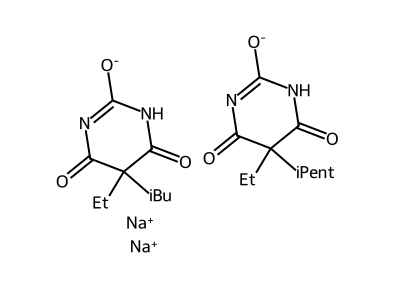 CCC(C)C1(CC)C(=O)N=C([O-])NC1=O.CCCC(C)C1(CC)C(=O)N=C([O-])NC1=O.[Na+].[Na+]